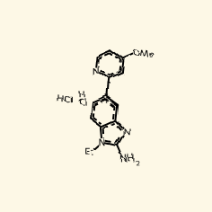 CCn1c(N)nc2cc(-c3cc(OC)ccn3)ccc21.Cl.Cl